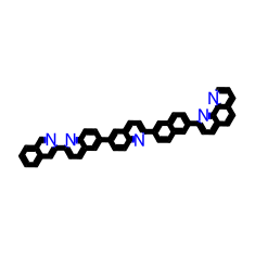 c1ccc2cc(-c3ccc4cc(-c5ccc6nc(-c7ccc8cc(-c9ccc%10ccc%11cccnc%11c%10n9)ccc8c7)ccc6c5)ccc4n3)ncc2c1